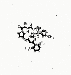 CC[C@H](NC(=O)OC(C)(C)C)C(=O)N1CCC(Oc2cc(-c3c(C)cccc3C)nc(NS(=O)(=O)c3cnn(C)c3)n2)C1